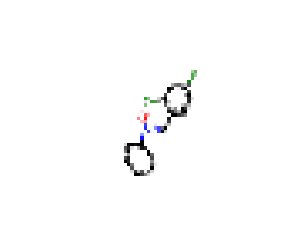 [O-][N+](=Cc1ccc(F)cc1Cl)c1ccccc1